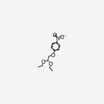 CCOC(COc1ccc([N+](=O)[O-])cc1)OCC